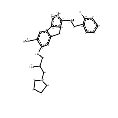 COc1cc2c(cc1OCC(O)CN1CCCC1)Cc1c-2n[nH]c1NCc1ccccc1F